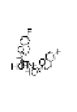 CC([C@@H](O)CNCC(C)(O)[C@@H]1CCc2cc(F)ccc2O1)[C@H]1CCc2cc(F)ccc2O1